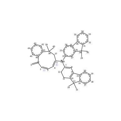 C=C1/C=C\C=C(\N(C2=CC3=C(CC2)C(C)(C)c2ccccc23)c2ccc3c(c2)C(C)(C)c2ccccc2-3)CC(C)(C)c2ccccc21